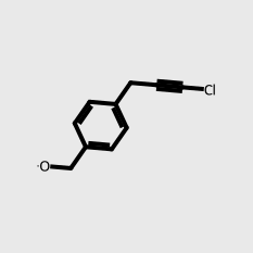 [O]Cc1ccc(CC#CCl)cc1